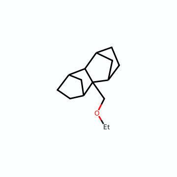 CCOCC12C3CCC(C3)C1C1CCC2C1